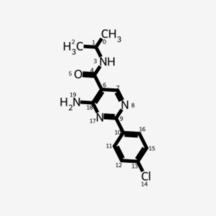 CC(C)NC(=O)c1cnc(-c2ccc(Cl)cc2)nc1N